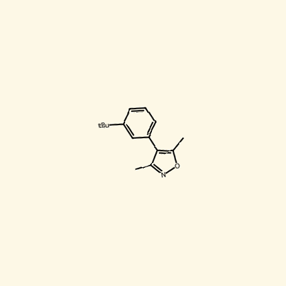 Cc1noc(C)c1-c1cccc(C(C)(C)C)c1